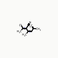 C=C(C)/C=C(C)\C(C#N)=C(/C)Cl